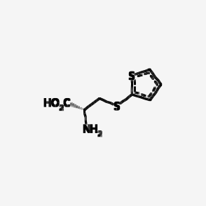 N[C@@H](CSc1cccs1)C(=O)O